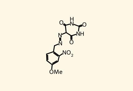 COc1ccc(CN=NC2C(=O)NC(=O)NC2=O)c([N+](=O)[O-])c1